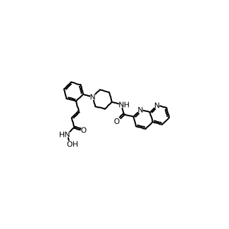 O=C(C=Cc1ccccc1N1CCC(NC(=O)c2ccc3cccnc3n2)CC1)NO